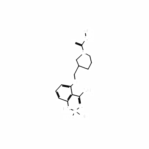 CCCCNC(=O)N1CCCC(COc2cccc3c2C(N)=NS(O)(O)N3)C1